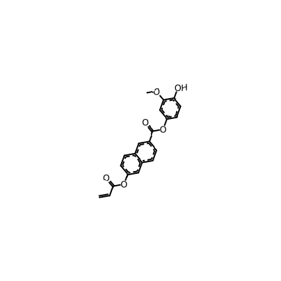 C=CC(=O)Oc1ccc2cc(C(=O)Oc3ccc(O)c(OC)c3)ccc2c1